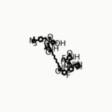 Cc1ncsc1-c1ccc(CNC(=O)[C@@H]2C[C@@H](O)CN2C(=O)C(NC(=O)CCCCCCCCNC(=O)c2ccc(F)c(-c3ccc(N4C[C@@H](C)N(C)[C@@H](C)C4)c(NC(=O)c4c[nH]c(=O)cc4C(F)(F)F)c3)c2)C(C)(C)C)cc1